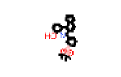 CC1(C)OB(c2cccc(-c3nc4c(O)cccc4c4c3ccc3ccccc34)c2)OC1(C)C